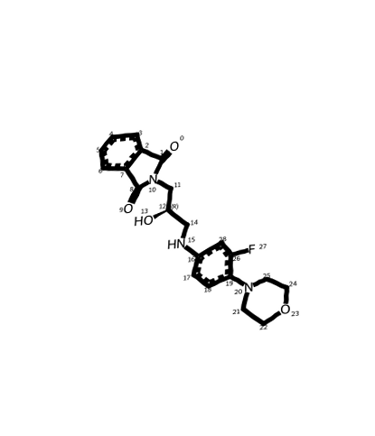 O=C1c2ccccc2C(=O)N1C[C@H](O)CNc1ccc(N2CCOCC2)c(F)c1